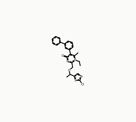 CCn1c(COC(C)c2cnc(Cl)s2)nc(=O)c(-c2cccc(-c3ccccc3)c2)c1I